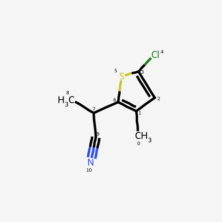 Cc1cc(Cl)sc1C(C)C#N